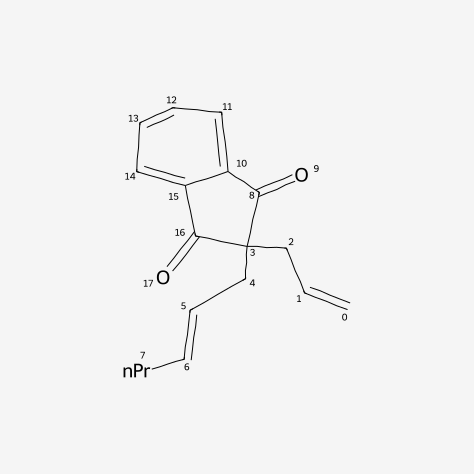 C=CCC1(C/C=C/CCC)C(=O)c2ccccc2C1=O